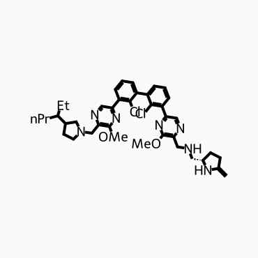 C=C1CC[C@@H](CNCc2ncc(-c3cccc(-c4cccc(-c5cnc(CN6CCC(C(CC)CCC)C6)c(OC)n5)c4Cl)c3Cl)nc2OC)N1